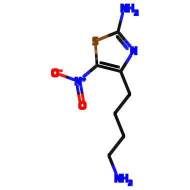 NCCCCc1nc(N)sc1[N+](=O)[O-]